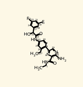 CCNC(=O)c1nc(-c2ccc(NC(=O)C(O)c3cc(F)cc(F)c3)cc2CC)cnc1N